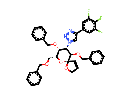 Fc1cc(-c2cn([C@H]3[C@@H](OCc4ccccc4)[C@@H](COCc4ccccc4)O[C@@]4(C=CCO4)[C@@H]3OCc3ccccc3)nn2)cc(F)c1F